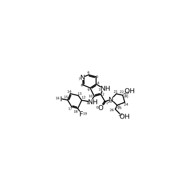 O=C(c1[nH]c2ccncc2c1NC1CC=C(I)C=C1F)N1C[C@H](O)C[C@H]1CO